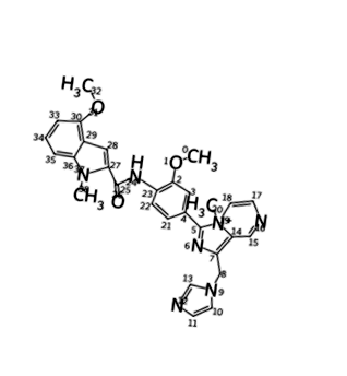 COc1cc(C2=NC(Cn3ccnc3)=C3C=NC=C[N+]23C)ccc1NC(=O)c1cc2c(OC)cccc2n1C